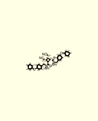 CCCN(Cc1ccc(Oc2ccccc2)cc1)C(=O)[C@H]1[C@@H](CC#N)[C@H](CC#N)[C@@H]1C(=O)N(CCC)Cc1ccc(Oc2ccccc2)cc1